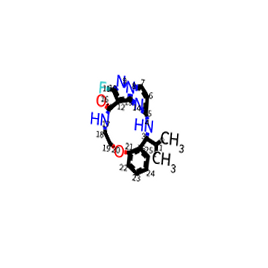 CC(C)C1Nc2ccn3nc(F)c(c3n2)C(=O)NCCOc2ccccc21